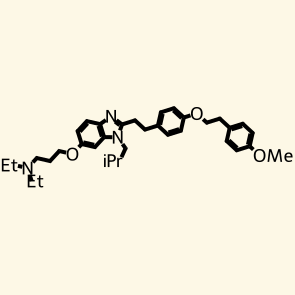 CCN(CC)CCCOc1ccc2nc(CCc3ccc(OCCc4ccc(OC)cc4)cc3)n(CC(C)C)c2c1